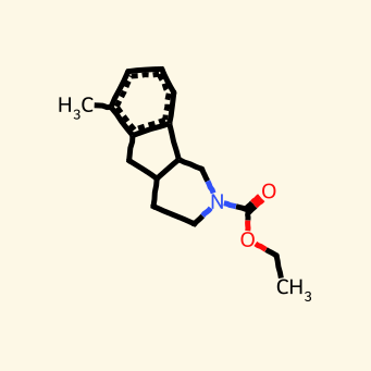 CCOC(=O)N1CCC2Cc3c(C)cccc3C2C1